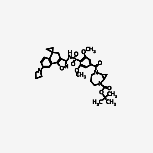 COc1cc(C(=O)N2CCCN(C(=O)OC(C)(C)C)C3CC32)cc(OC)c1S(=O)(=O)Nc1noc2c1CC1(CC1)c1ccc(N3CCC3)cc1-2